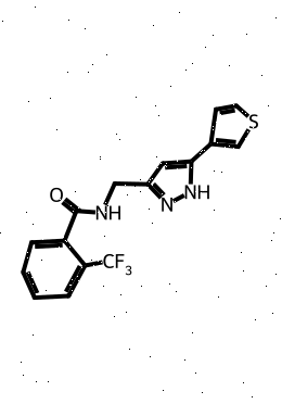 O=C(NCc1cc(-c2ccsc2)[nH]n1)c1ccccc1C(F)(F)F